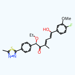 CCO[C@@H](C(=O)/C(C)=C/C=C(\O)c1ccc(F)c(OC)c1)c1ccc(-c2nnc(C)s2)cc1